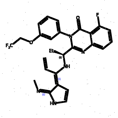 C=C/C(N[C@@H](CC)c1nc2cccc(F)c2c(=O)n1-c1cccc(OCC(F)(F)F)c1)=C1/C=CN/C1=N/C